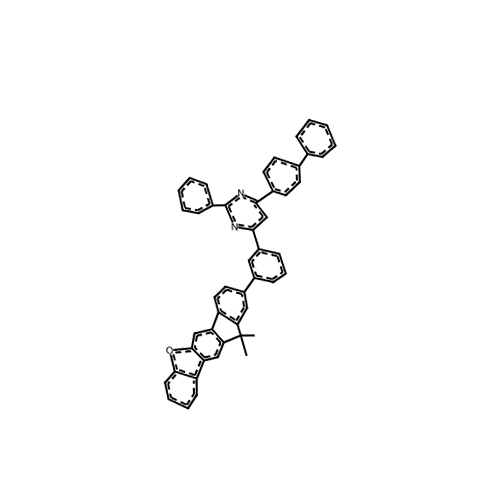 CC1(C)c2cc(-c3cccc(-c4cc(-c5ccc(-c6ccccc6)cc5)nc(-c5ccccc5)n4)c3)ccc2-c2cc3oc4ccccc4c3cc21